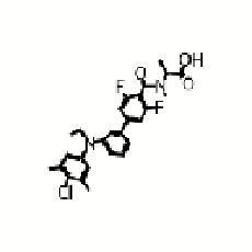 CCN(c1cccc(-c2cc(F)c(C(=O)N(C)C(C)C(=O)O)c(F)c2)c1)c1cc(C)c(Cl)c(C)c1